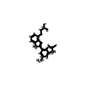 Cc1nc2c(-c3cc4c(CCN(C)C)cccc4[nH]3)cc(N)nc2[nH]1